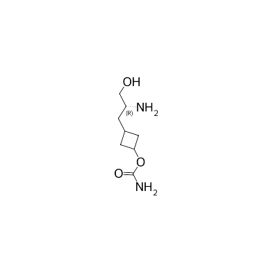 NC(=O)OC1CC(C[C@@H](N)CO)C1